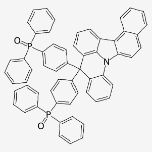 O=P(c1ccccc1)(c1ccccc1)c1ccc(C2(c3ccc(P(=O)(c4ccccc4)c4ccccc4)cc3)c3ccccc3-n3c4ccc5ccccc5c4c4cccc2c43)cc1